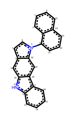 c1ccc2c(-n3ccc4cc5[nH]c6ccccc6c5cc43)cccc2c1